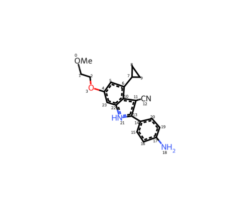 COCCOc1cc(C2CC2)c2c(C#N)c(-c3ccc(N)cc3)[nH]c2c1